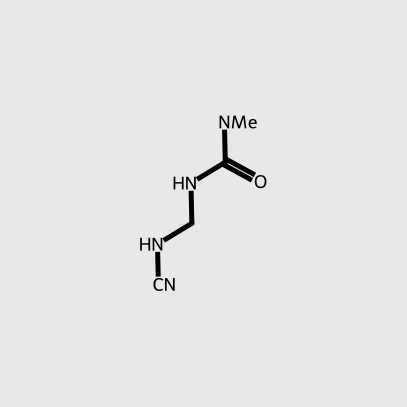 CNC(=O)NCNC#N